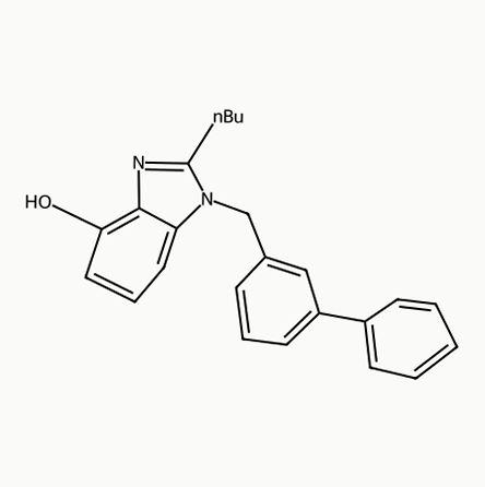 CCCCc1nc2c(O)cccc2n1Cc1cccc(-c2ccccc2)c1